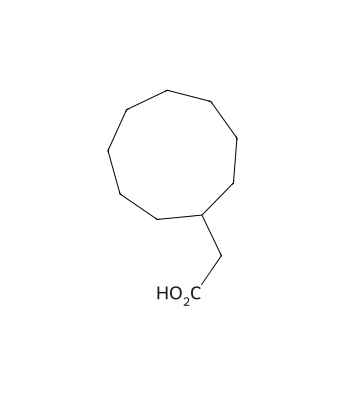 O=C(O)CC1CCCCCCCC1